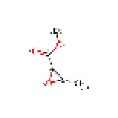 CCOC(=O)[C@H]1O[C@H]1C